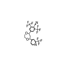 N#Cc1c(C(F)(F)F)cc(C2CC(c3ccnc(C(F)(F)F)c3)OCCO2)cc1C(F)(F)F